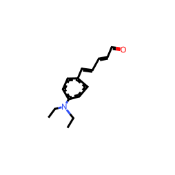 CCN(CC)c1ccc(C=CC=CC=O)cc1